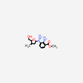 C=C1CC(N(N)c2cccc(C(=O)OC)c2N)OC1CO